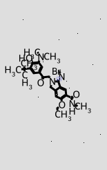 CCOc1cc2c(cc1C(=O)NC)/C(=N/Br)N(CC(=O)c1cc(N(C)C)c(O)c(C(C)(C)C)c1)C2